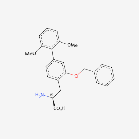 COc1cccc(OC)c1-c1ccc(C[C@H](N)C(=O)O)c(OCc2ccccc2)c1